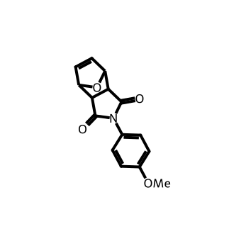 COc1ccc(N2C(=O)C3C4C=CC(O4)C3C2=O)cc1